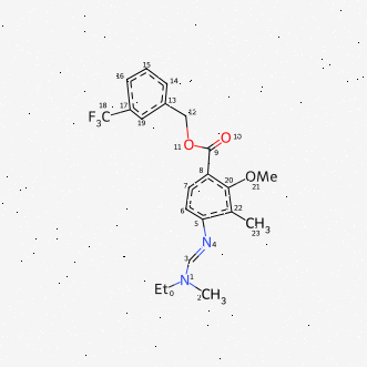 CCN(C)/C=N/c1ccc(C(=O)OCc2cccc(C(F)(F)F)c2)c(OC)c1C